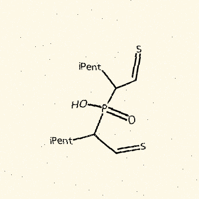 CCCC(C)C(C=S)P(=O)(O)C(C=S)C(C)CCC